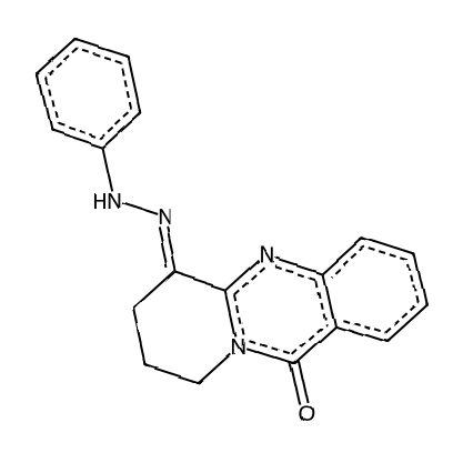 O=c1c2ccccc2nc2n1CCCC2=NNc1ccccc1